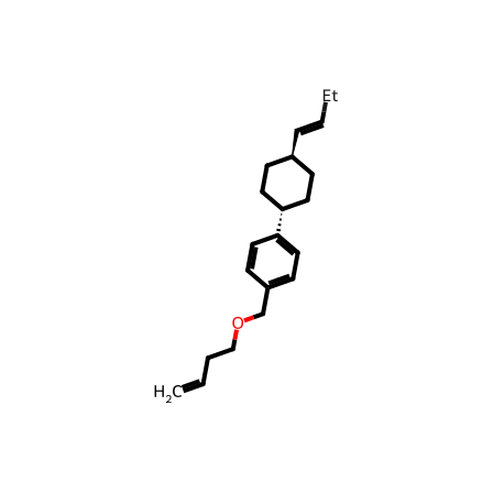 C=CCCOCc1ccc([C@H]2CC[C@H](C=CCC)CC2)cc1